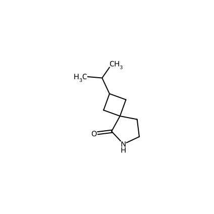 CC(C)C1CC2(CCNC2=O)C1